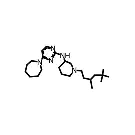 CC(CCN1CCCC(Nc2nccc(N3CCCCCC3)n2)C1)CC(C)(C)C